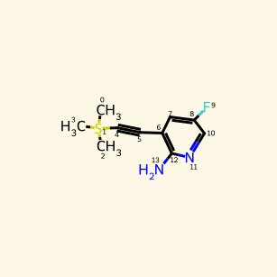 CS(C)(C)C#Cc1cc(F)cnc1N